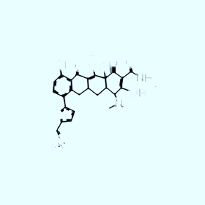 CN(C)C1C(O)=C(C(N)=O)C(=O)C2(O)C(O)=C3C(=O)c4c(O)ccc(-c5ccc(/C=N/O)s5)c4CC3CC12